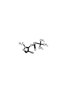 Cn1ncc(Br)c1OC(=O)NC(C)(C)C